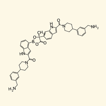 C[C@]1(c2ccc3cc(C(=O)N4CCC(c5cccc(CN)c5)CC4)[nH]c3c2)OB(c2cccc3[nH]c(C(=O)N4CCC(c5cccc(CN)c5)CC4)cc23)OC1=O